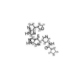 O=C(Nc1cncc(-c2ncc3[nH]nc(-c4nc5c(-c6ccoc6)ccnc5[nH]4)c3c2F)c1)C1CCCC1